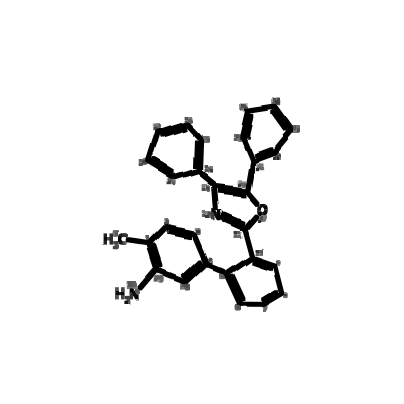 Cc1ccc(-c2ccccc2-c2nc(-c3ccccc3)c(-c3ccccc3)o2)cc1N